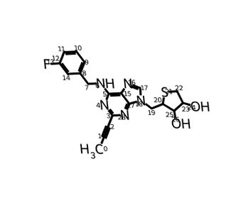 CC#Cc1nc(NCc2cccc(F)c2)c2ncn(CC3SCC(O)C3O)c2n1